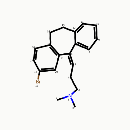 CN(C)CCC=C1c2ccccc2CCc2ccc(Br)cc21